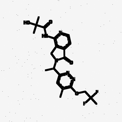 Cc1cc(C(C)N2Cc3c(ccnc3NC(=O)C(C)(C)O)C2=O)nnc1OCC(C)(F)F